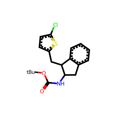 CC(C)(C)OC(=O)NC1Cc2ccccc2C1Cc1ccc(Cl)s1